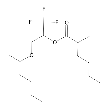 CCCCC(C)OCC(OC(=O)C(C)CCCC)C(F)(F)F